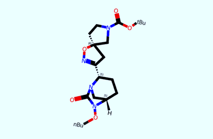 CCCCON1C(=O)N2C[C@@H]1CC[C@H]2C1=NO[C@]2(CCN(C(=O)OC(C)(C)C)C2)C1